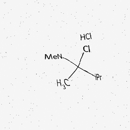 CNC(C)(Cl)C(C)C.Cl